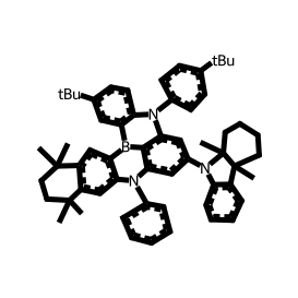 CC(C)(C)c1ccc(N2c3ccc(C(C)(C)C)cc3B3c4cc5c(cc4N(c4ccccc4)c4cc(N6c7ccccc7C7(C)CCCCC67C)cc2c43)C(C)(C)CCC5(C)C)cc1